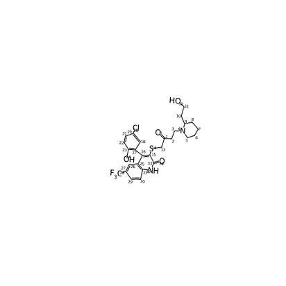 O=C(CCN1CCCCC1CCO)CSc1c(-c2cc(Cl)ccc2O)c2cc(C(F)(F)F)ccc2[nH]c1=O